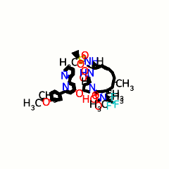 CC(C)Oc1ccc(-c2cc(O[C@@H]3C[C@H]4C(=O)N[C@]5(C(=O)NS(=O)(=O)C6(C)CC6)C[C@H]5/C=C\CC[C@H](C)C[C@@H](C)[C@H](N(C(=O)O)C(C)(C)C(F)(F)F)C(=O)N4C3)cc(-c3ccccn3)n2)cc1